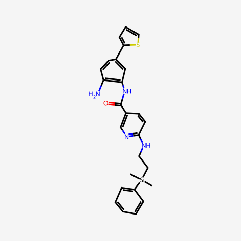 C[Si](C)(CCNc1ccc(C(=O)Nc2cc(-c3cccs3)ccc2N)cn1)c1ccccc1